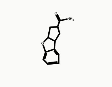 NC(=O)C1CC2Oc3ccccc3C2C1